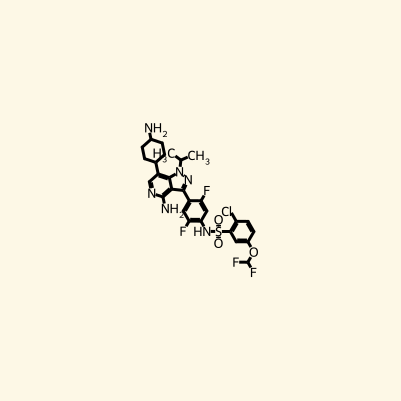 CC(C)n1nc(-c2cc(F)c(NS(=O)(=O)c3cc(OC(F)F)ccc3Cl)cc2F)c2c(N)ncc(C3CCC(N)CC3)c21